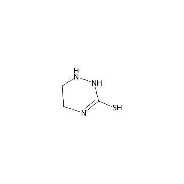 SC1=NCCNN1